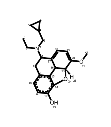 CCN(CC1CC1)C1Cc2ccc(O)c3c2C2C1=CC=C(OC)[C@@H]2O3